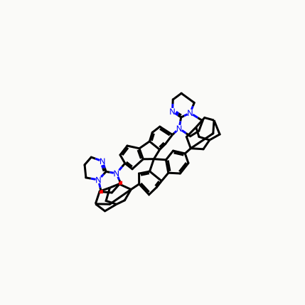 c1cc2c(cc1N1CCCN3CCCN=C31)C1(c3cc(N4CCCN5CCCN=C54)ccc3-2)c2cc(C34CC5CC(CC(C5)C3)C4)ccc2-c2ccc(C34CC5CC(CC(C5)C3)C4)cc21